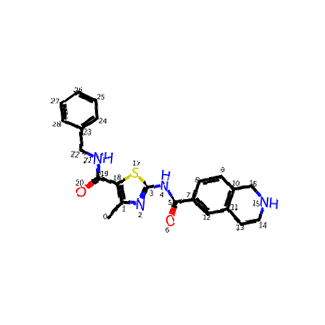 Cc1nc(NC(=O)c2ccc3c(c2)CCNC3)sc1C(=O)NCc1ccccc1